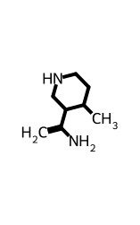 C=C(N)C1CNCCC1C